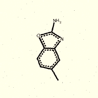 Cc1ccc2oc(N)nc2c1